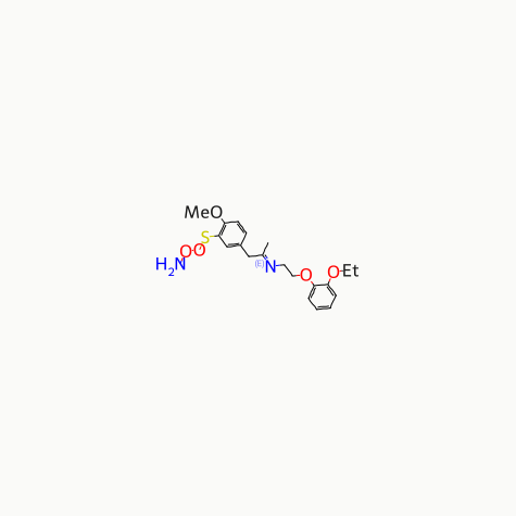 CCOc1ccccc1OCC/N=C(\C)Cc1ccc(OC)c(SOON)c1